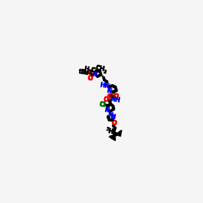 [2H]C1(CCOc2ccn(-c3ccc(C(=O)NS(=O)(=O)c4cccc(NCCC[C@@H]5CN(C(=O)OC(C)(C)C)C(C)(C)C5)n4)c(Cl)n3)n2)C2(CC2)C12CC2